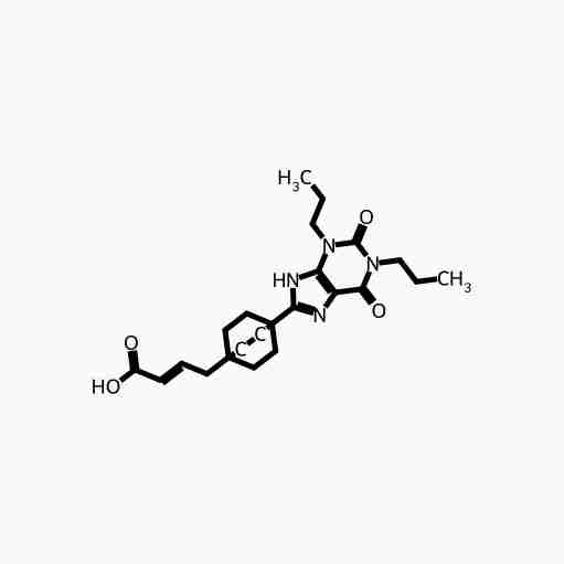 CCCn1c(=O)c2nc(C34CCC(CC=CC(=O)O)(CC3)CC4)[nH]c2n(CCC)c1=O